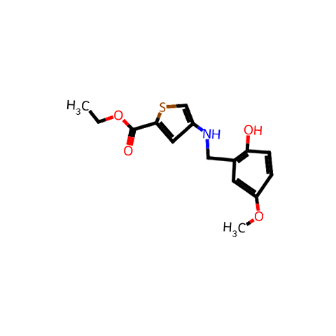 CCOC(=O)c1cc(NCc2cc(OC)ccc2O)cs1